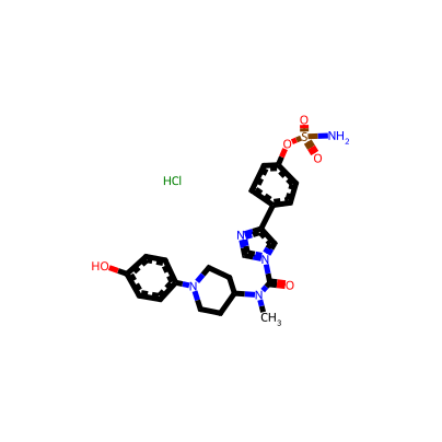 CN(C(=O)n1cnc(-c2ccc(OS(N)(=O)=O)cc2)c1)C1CCN(c2ccc(O)cc2)CC1.Cl